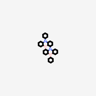 c1ccc(B2c3ccccc3N3c4cccc5c4B(c4ccccc4N5c4ccccc4)c4cccc2c43)cc1